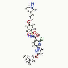 CC1(C)CC(CCCOc2ccc(S(=O)(=O)NC(=O)c3ccc(-n4ccc(OCCC5(C(F)(F)F)CC5)n4)nc3Cl)cc2)CN1